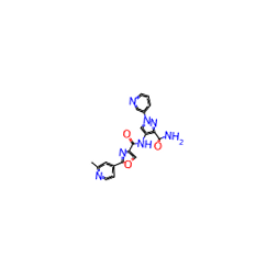 Cc1cc(-c2nc(C(=O)Nc3cn(-c4cccnc4)nc3C(N)=O)co2)ccn1